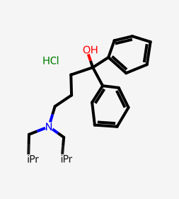 CC(C)CN(CCCC(O)(c1ccccc1)c1ccccc1)CC(C)C.Cl